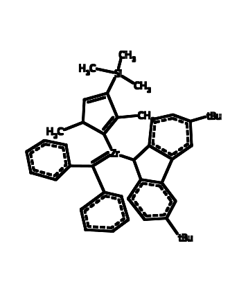 CC1=[C]([Zr](=[C](c2ccccc2)c2ccccc2)[CH]2c3ccc(C(C)(C)C)cc3-c3cc(C(C)(C)C)ccc32)C(C)C=C1[Si](C)(C)C